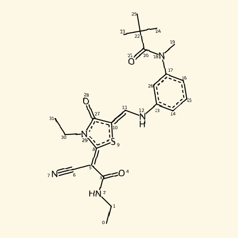 CCNC(=O)C(C#N)=c1sc(=CNc2cccc(N(C)C(=O)C(C)(C)C)c2)c(=O)n1CC